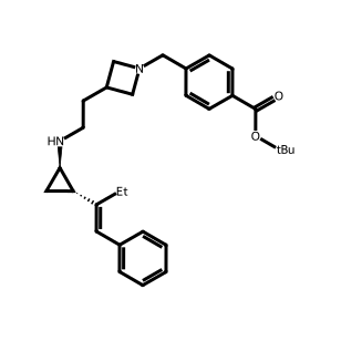 CC/C(=C\c1ccccc1)[C@@H]1C[C@H]1NCCC1CN(Cc2ccc(C(=O)OC(C)(C)C)cc2)C1